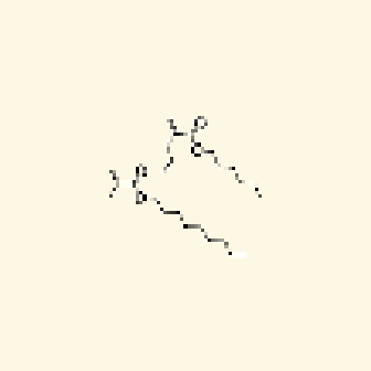 C=C(C)C(=O)OCCCCCCCCC.C=C(CCC)C(=O)OCCCCCC